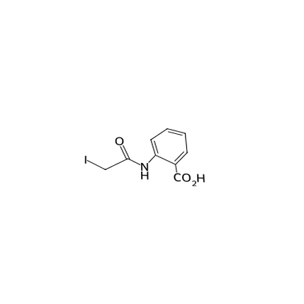 O=C(CI)Nc1ccccc1C(=O)O